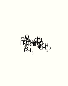 COCCCOc1ccccc1C(=O)NC[C@@H](C[C@H](N)[C@@H](O)CNS(=O)(=O)C(C)C)C(C)C